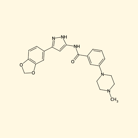 CN1CCN(c2cccc(C(=O)Nc3cc(-c4ccc5c(c4)OCO5)n[nH]3)c2)CC1